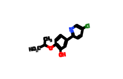 CC(Oc1ccc(-c2ccc(Cl)cn2)cc1O)C(=O)O